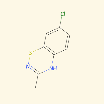 CC1=NSc2cc(Cl)ccc2N1